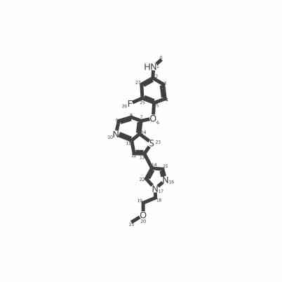 CNc1ccc(Oc2ccnc3cc(-c4cnn(CCOC)c4)sc23)c(F)c1